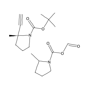 C#C[C@@]1(C)CCCN1C(=O)OC(C)(C)C.CC1CCCN1C(=O)OC=O